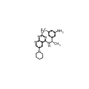 C[C@@H](Nc1nc(Cl)nc2ncc(N3CCCCC3)cc12)c1cc(N)cc(C(F)(F)F)c1